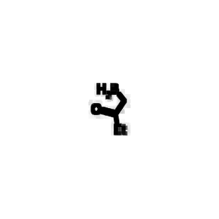 BCC(=O)CC